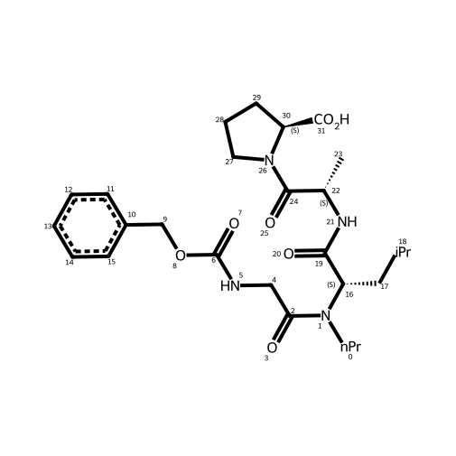 CCCN(C(=O)CNC(=O)OCc1ccccc1)[C@@H](CC(C)C)C(=O)N[C@@H](C)C(=O)N1CCC[C@H]1C(=O)O